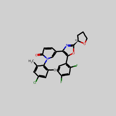 Cc1cc(Cl)cc(C)c1-n1cc(-c2nc([C@H]3CCCO3)oc2-c2ccc(F)cc2F)ccc1=O